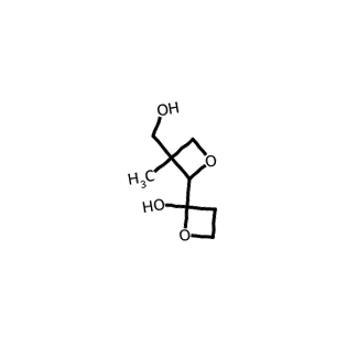 CC1(CO)COC1C1(O)CCO1